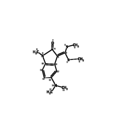 CSC(SC)=C1C(=O)N(C)c2ccc(N(C)C)cc21